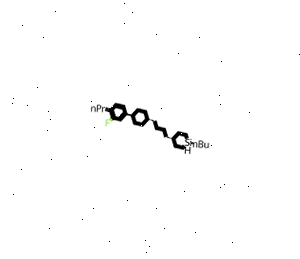 CCCC[Si@H]1CC[C@H](CCCC[C@H]2CC[C@H](c3ccc(CCC)c(F)c3)CC2)CC1